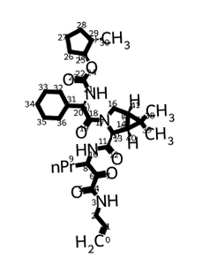 C=CCNC(=O)C(=O)C(CCC)NC(=O)[C@@H]1[C@@H]2[C@H](CN1C(=O)[C@@H](NC(=O)O[C@H]1CCC[C@@H]1C)C1CCCCC1)C2(C)C